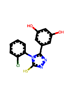 Oc1cc(O)cc(-c2nnc(S)n2-c2ccccc2Cl)c1